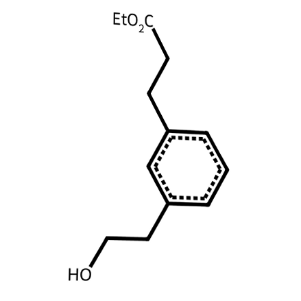 CCOC(=O)CCc1cccc(CCO)c1